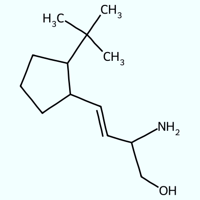 CC(C)(C)C1CCCC1C=CC(N)CO